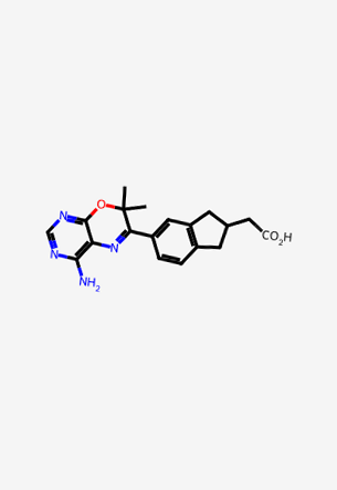 CC1(C)Oc2ncnc(N)c2N=C1c1ccc2c(c1)CC(CC(=O)O)C2